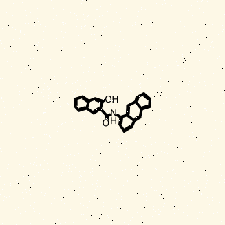 O=C(Nc1cccc2cc3ccccc3cc12)c1cc2ccccc2cc1O